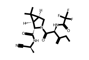 C=C(CC)[C@H](NC(=O)C(F)(F)F)C(=O)N1C[C@H]2[C@@H]([C@H]1C(=O)N[C@@H](C)C#N)C2(C)C